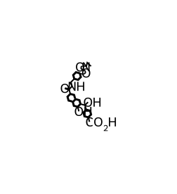 O=C(O)c1ccc(C(O)c2cc3cc(C(=O)NCc4ccc(S(=O)(=O)N5CC5)cc4)ccc3cc2O)cc1